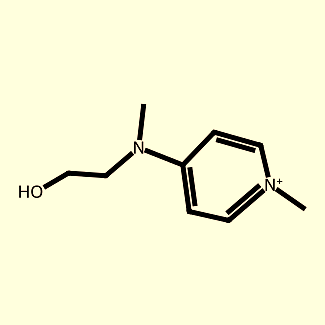 CN(CCO)c1cc[n+](C)cc1